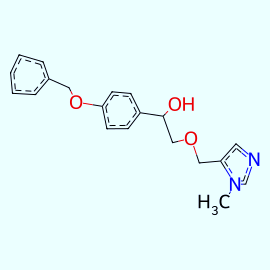 Cn1cncc1COCC(O)c1ccc(OCc2ccccc2)cc1